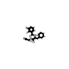 N#CCNC(=O)C(CC1CCCCC1)NC(=O)c1cccc(F)c1F